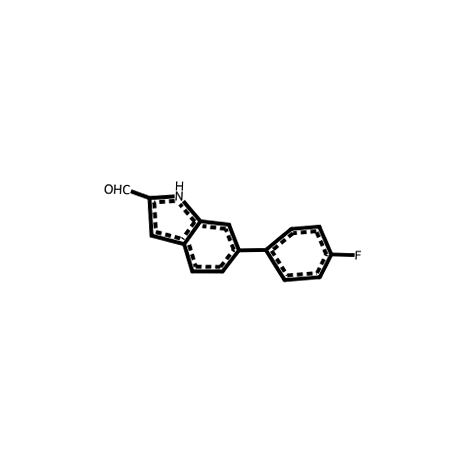 O=Cc1cc2ccc(-c3ccc(F)cc3)cc2[nH]1